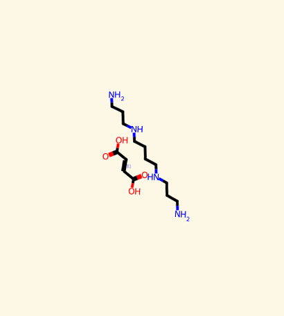 NCCCNCCCCNCCCN.O=C(O)/C=C/C(=O)O